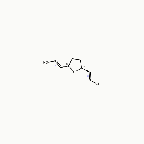 O/N=C/[C@@H]1CC[C@H](/C=N/O)O1